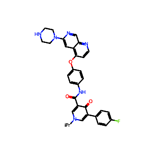 CC(C)n1cc(C(=O)Nc2ccc(Oc3ccnc4cnc(N5CCNCC5)cc34)cc2)c(=O)c(-c2ccc(F)cc2)c1